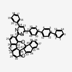 c1ccc(-c2ccc(-c3ccc(-c4cc(-c5ccccc5)nc(-c5ccc6sc7ccc8oc9cc%10ccccc%10c%10oc5c6c7c8c9%10)n4)cc3)cc2)cc1